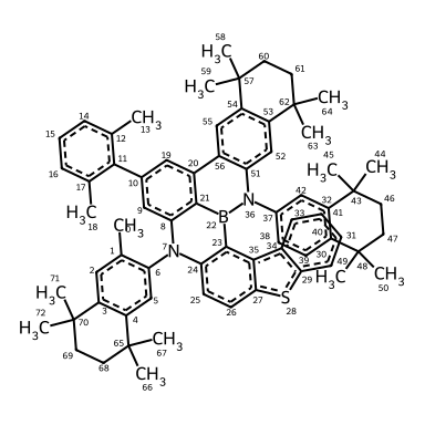 Cc1cc2c(cc1N1c3cc(-c4c(C)cccc4C)cc4c3B(c3c1ccc1sc5ccccc5c31)N(c1ccc3c(c1)C(C)(C)CCC3(C)C)c1cc3c(cc1-4)C(C)(C)CCC3(C)C)C(C)(C)CCC2(C)C